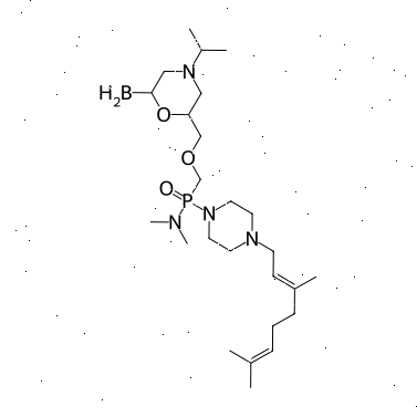 BC1CN(C(C)C)CC(COCP(=O)(N(C)C)N2CCN(C/C=C(\C)CCC=C(C)C)CC2)O1